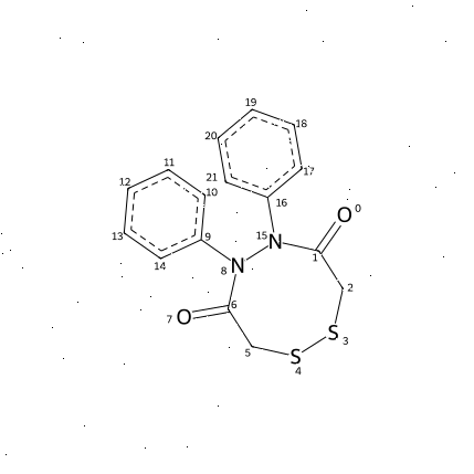 O=C1CSSCC(=O)N(c2ccccc2)N1c1ccccc1